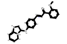 COc1ccccc1C(=O)/C=C/c1ccc(OC2CSC3=CC=CCN32)cc1